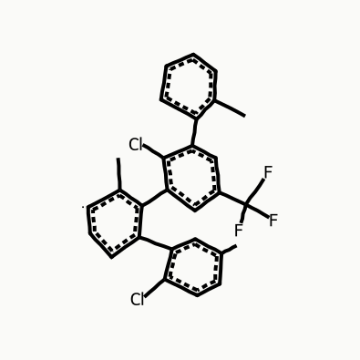 Cc1ccc(Cl)c(-c2cc[c]c(C)c2-c2cc(C(F)(F)F)cc(-c3ccccc3C)c2Cl)c1